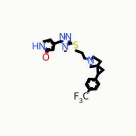 Cn1c(SCCCN2CCC3(CC3c3ccc(C(F)(F)F)cc3)C2)nnc1-c1cc[nH]c(=O)c1